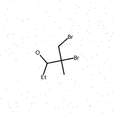 CCC([O])C(C)(Br)CBr